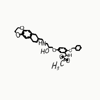 CS(=O)(=O)Nc1cc(OC[C@H](O)CNCC2CCc3cc4c(cc3C2)OCCO4)ccc1OCc1ccccc1